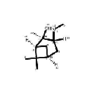 CN[C@@H]1C[C@@H]2C[C@@H](C2(C)C)[C@@]1(C)O